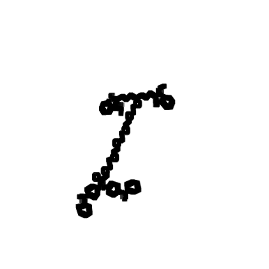 CCN1/C(=C/C=C/C(=C/C=C/c2sc3ccccc3[n+]2CC)OCCOCCOCCOCCOCCOCC(=O)N(c2ccc(N(C)c3ccccc3)cc2)c2ccc(N(C)c3ccccc3)cc2)Sc2ccccc21